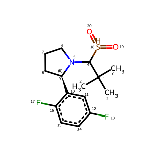 CC(C)(C)C(N1CCC[C@@H]1c1cc(F)ccc1F)[SH](=O)=O